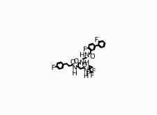 O=C(CCc1ccc(F)cc1)NC(CC(=O)NC1(C(F)(F)F)CC1)C(=O)NCCNC(=O)c1cc(-c2ccccc2F)ccc1F